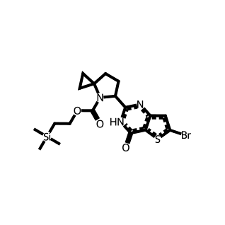 C[Si](C)(C)CCOC(=O)N1C(c2nc3cc(Br)sc3c(=O)[nH]2)CCC12CC2